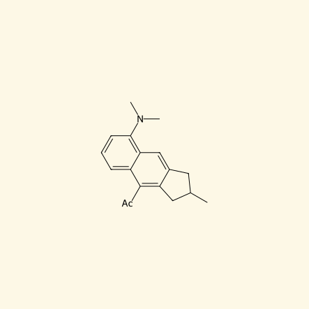 CC(=O)c1c2c(cc3c(N(C)C)cccc13)CC(C)C2